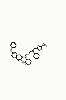 Cc1nc(CN(CCC[C@@H](C2CCCCC2)N2Cc3cc(Oc4ccccc4)ccc3N=C2N)C2CCCCC2)cs1